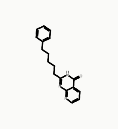 O=c1[nH]c(CCCCCc2ccccc2)nc2ncccc12